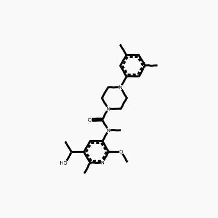 COc1nc(C)c(C(C)O)cc1N(C)C(=O)N1CCN(c2cc(C)cc(C)c2)CC1